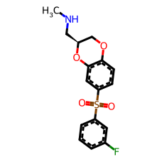 CNC[C@H]1COc2ccc(S(=O)(=O)c3cccc(F)c3)cc2O1